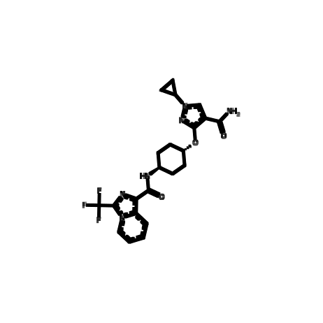 NC(=O)c1cn(C2CC2)nc1O[C@H]1CC[C@H](NC(=O)c2nc(C(F)(F)F)n3ccccc23)CC1